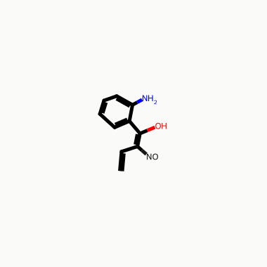 C=C/C(N=O)=C(/O)c1ccccc1N